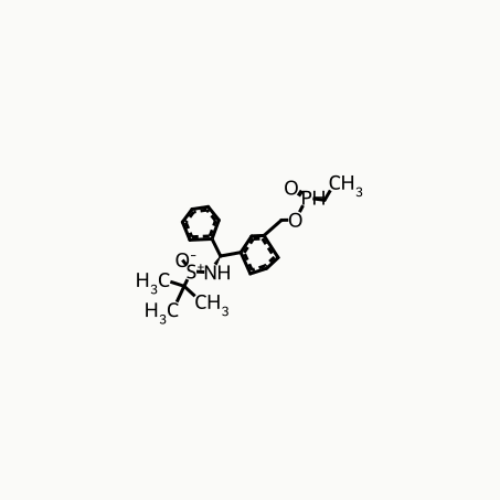 CC[PH](=O)OCc1cccc([C@@H](N[S+]([O-])C(C)(C)C)c2ccccc2)c1